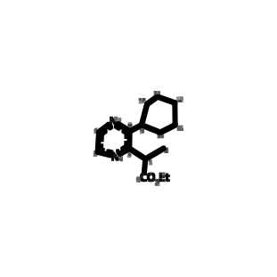 CCOC(=O)C(C)c1nccnc1C1CCCCC1